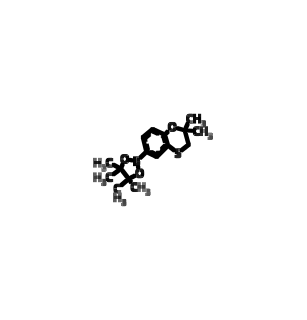 CC1(C)CSc2cc(B3OC(C)(C)C(C)(C)O3)ccc2O1